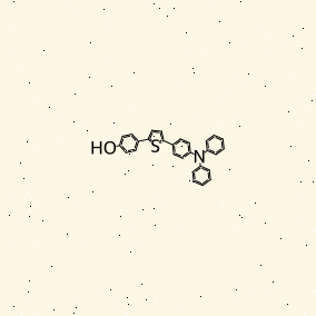 Oc1ccc(-c2ccc(-c3ccc(N(c4ccccc4)c4ccccc4)cc3)s2)cc1